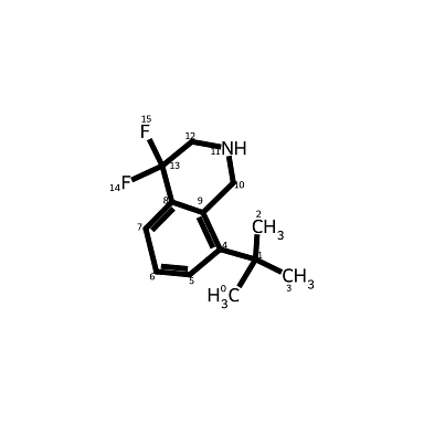 CC(C)(C)c1cccc2c1CNCC2(F)F